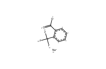 O=C([O-])c1ccccc1C(F)(F)F.[Na+]